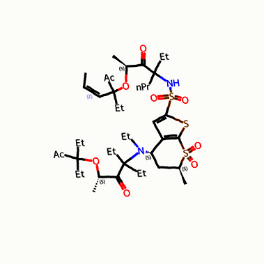 C/C=C\C(CC)(O[C@@H](C)C(=O)C(CC)(CCC)NS(=O)(=O)c1cc2c(s1)S(=O)(=O)[C@@H](C)C[C@@H]2N(CC)C(CC)(CC)C(=O)[C@H](C)OC(CC)(CC)C(C)=O)C(C)=O